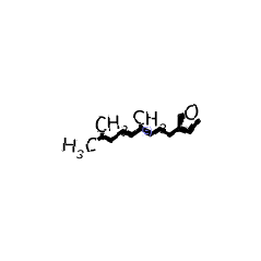 C/C(=C\CCc1ccoc1)CCCC(C)C